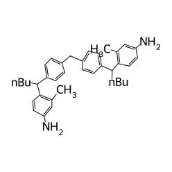 CCCCC(c1ccc(Cc2ccc(C(CCCC)c3ccc(N)cc3C)cc2)cc1)c1ccc(N)cc1C